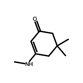 CNC1=CC(=O)CC(C)(C)C1